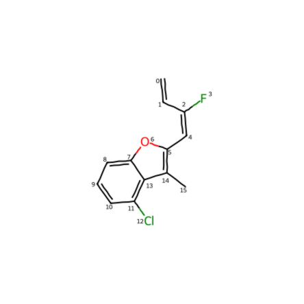 C=C/C(F)=C\c1oc2cccc(Cl)c2c1C